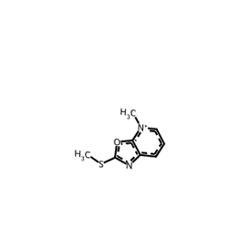 CSc1nc2ccc[n+](C)c2o1